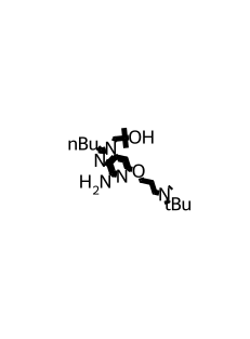 CCCCc1nc2c(N)nc(OCCCN(C)C(C)(C)C)cc2n1CC(C)(C)O